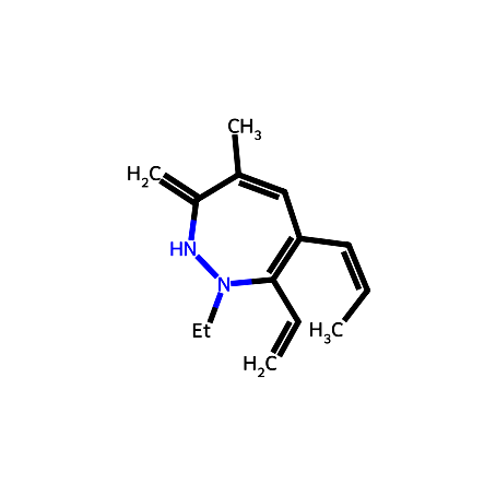 C=CC1=C(/C=C\C)C=C(C)C(=C)NN1CC